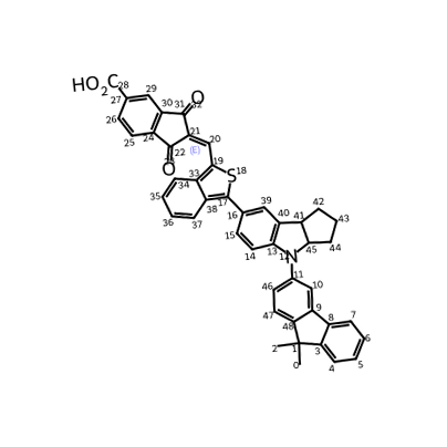 CC1(C)c2ccccc2-c2cc(N3c4ccc(-c5sc(/C=C6\C(=O)c7ccc(C(=O)O)cc7C6=O)c6ccccc56)cc4C4CCCC43)ccc21